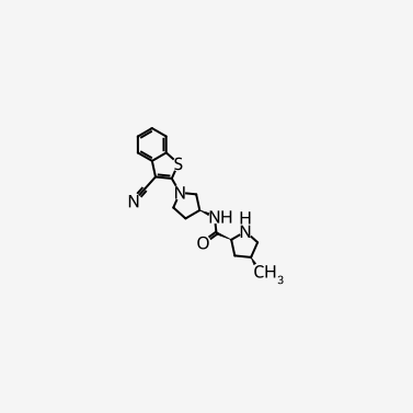 C[C@@H]1CN[C@H](C(=O)N[C@H]2CCN(c3sc4ccccc4c3C#N)C2)C1